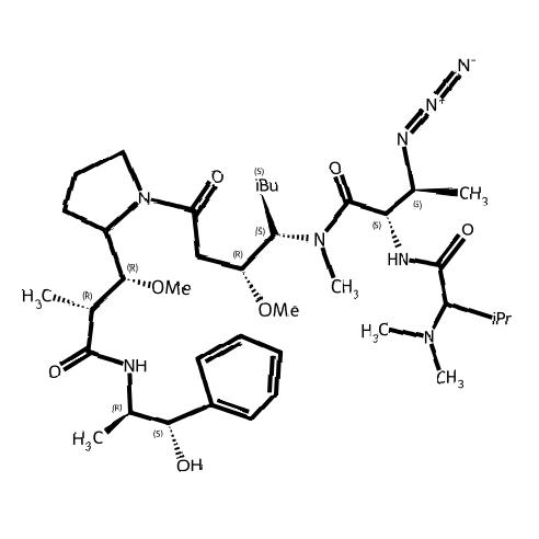 CC[C@H](C)[C@@H]([C@@H](CC(=O)N1CCCC1[C@H](OC)[C@@H](C)C(=O)N[C@H](C)[C@@H](O)c1ccccc1)OC)N(C)C(=O)[C@@H](NC(=O)C(C(C)C)N(C)C)[C@H](C)N=[N+]=[N-]